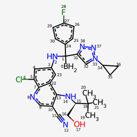 BC(Nc1cc(Cl)c2ncc(C#N)c(N[C@H](CO)C(C)(C)C)c2c1)(c1ccc(F)cc1)c1cn(C2CC2)nn1